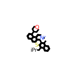 Cc1c2c(c(CC(C)C)c3ccccc13)Sc1cc3cccc(C4CCOCC4)c3c3cc[n+](C)c-2c13